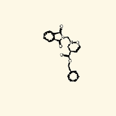 O=C(OCc1ccccc1)C1C=CON(CN2C(=O)c3ccccc3C2=O)C1